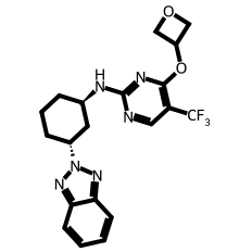 FC(F)(F)c1cnc(N[C@@H]2CCC[C@@H](n3nc4ccccc4n3)C2)nc1OC1COC1